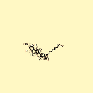 CCCCCCCCCCCCCCCCCCO[C@]1(O)CC[C@@]2(C)C(CC[C@]3(C)[C@@H]2C(=O)C=C2[C@H]4C[C@@](C)(C(=O)O)CC[C@]4(C)CC[C@]23C)C1(C)C